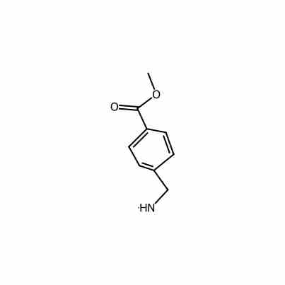 COC(=O)c1ccc(C[NH])cc1